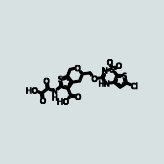 O=C(O)C(=O)Nc1sc2c(c1C(=O)O)CC(COC1=NS(=O)(=O)c3sc(Cl)cc3N1)OC2